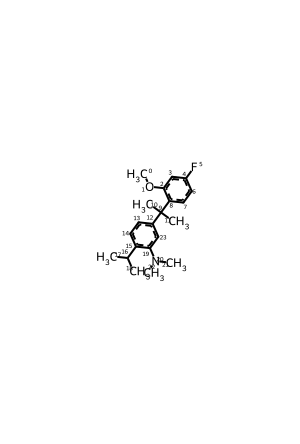 COc1cc(F)ccc1C(C)(C)c1ccc(C(C)C)c(N(C)C)c1